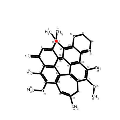 COC1=CC(=O)c2c(O)c(OC)c3c4c2c1c1c(OC)c2c(c5c(O)c(OC)c(c4c15)CC(C)=C3)=NCCS2